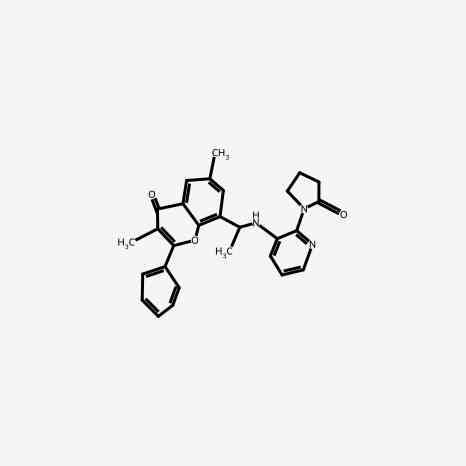 Cc1cc(C(C)Nc2cccnc2N2CCCC2=O)c2oc(-c3ccccc3)c(C)c(=O)c2c1